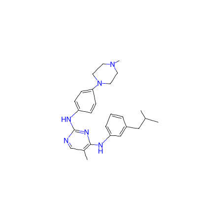 Cc1cnc(Nc2ccc(N3CCN(C)CC3)cc2)nc1Nc1cccc(CC(C)C)c1